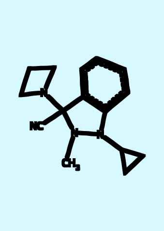 CN1N(C2CC2)c2ccccc2C1(C#N)N1CCC1